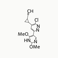 C#CC1CC1c1cc(C2=C(OC)NC(OC)N=C2)nnc1Cl